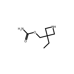 CCC1(COC(N)=O)CNC1